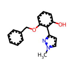 Cn1ccc(-c2c(O)cccc2OCc2ccccc2)n1